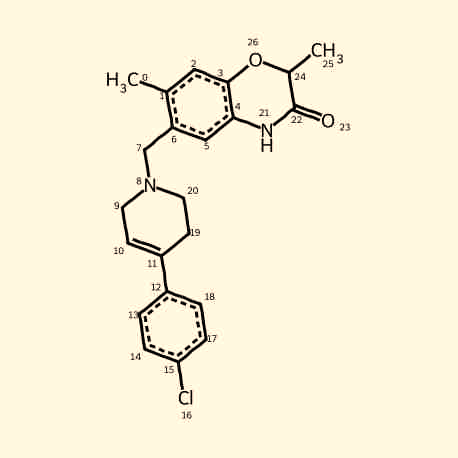 Cc1cc2c(cc1CN1CC=C(c3ccc(Cl)cc3)CC1)NC(=O)C(C)O2